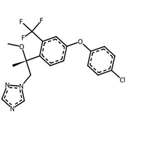 CO[C@@](C)(Cn1cncn1)c1ccc(Oc2ccc(Cl)cc2)cc1C(F)(F)F